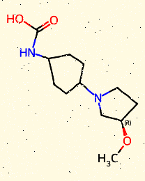 CO[C@@H]1CCN(C2CCC(NC(=O)O)CC2)C1